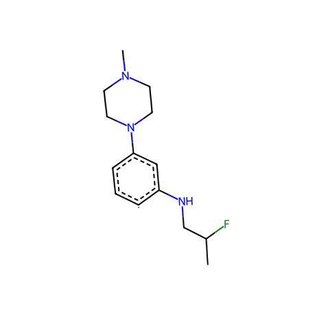 CC(F)CNc1[c]ccc(N2CCN(C)CC2)c1